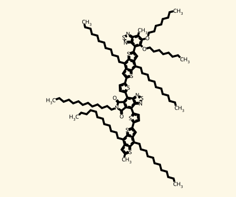 CCCCCCCCCCCCCN1C(=O)c2c(c(-c3ccc(-c4cc5c(CCCCCCCCCCCC)c6sc(-c7c(OCCCCCCCC)c(OCCCCCCCC)c(C)c8nsnc78)cc6c(CCCCCCCCCCCC)c5s4)s3)c3nsnc3c2-c2ccc(-c3cc4c(CCCCCCCCCCCC)c5sc(C)cc5c(CCCCCCCCCCCC)c4s3)s2)C1=O